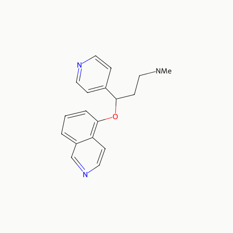 CNCCC(Oc1cccc2cnccc12)c1ccncc1